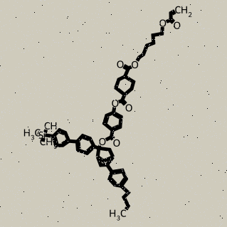 C=CC(=O)OCCCCCCOC(=O)C1CCC(C(=O)Oc2ccc(C(=O)OC3(c4ccc(-c5ccc([Si](C)(C)C)cc5)cc4)CC4CC3CC4c3ccc(CCCC)cc3)cc2)CC1